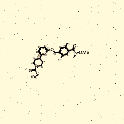 CON(C)C(=O)c1cc(F)c(COc2cccc(C3CCN(C(=O)OC(C)(C)C)CC3)n2)cc1C